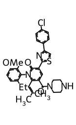 CCc1cccc(OC)c1-n1c(C=C(C)C)c(C(=O)N2CCNCC2)cc(-c2nc(-c3ccc(Cl)cc3)cs2)c1=O